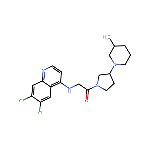 CC1CCCN(C2CCN(C(=O)CNc3ccnc4cc(Cl)c(Cl)cc34)C2)C1